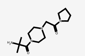 CC(C)(N)C(=O)N1CCN(CC(=O)N2CCCC2)CC1